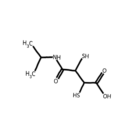 CC(C)NC(=O)C(S)C(S)C(=O)O